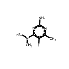 CCCCN(C)c1nc(N)nc(C)c1I